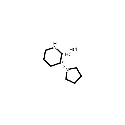 C1CNC[C@H](N2CCCC2)C1.Cl.Cl